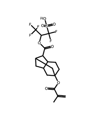 C=C(C)C(=O)OC12CCC3C(CC(C1)C3C(=O)OC(C(F)(F)F)C(F)(F)S(=O)(=O)O)C2